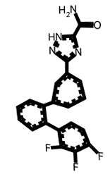 NC(=O)c1nc(-c2cccc(-c3ccccc3-c3ccc(F)c(F)c3F)c2)n[nH]1